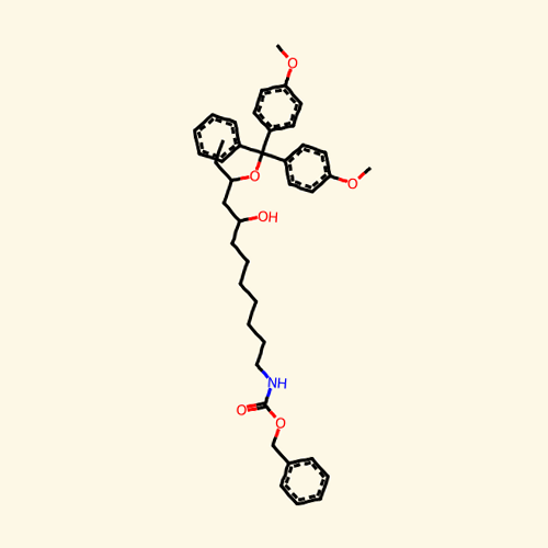 CCC(CC(O)CCCCCCCNC(=O)OCc1ccccc1)OC(c1ccccc1)(c1ccc(OC)cc1)c1ccc(OC)cc1